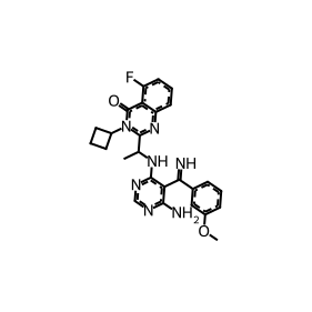 COc1cccc(C(=N)c2c(N)ncnc2NC(C)c2nc3cccc(F)c3c(=O)n2C2CCC2)c1